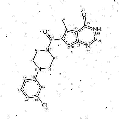 Cc1c(C(=O)N2CCN(c3cccc(Cl)c3)CC2)sc2nc[nH]c(=O)c12